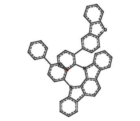 c1ccc(-c2ccc(-n3c4ccccc4c4ccc5c6ccccc6n(-c6ccccc6-c6ccc7oc8ccccc8c7c6)c5c43)cc2)cc1